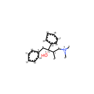 CC(CN(C)C)[C@@](O)(Cc1ccccc1)c1ccccc1